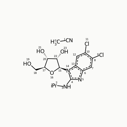 CC#N.CC(C)Nc1nc2cc(Cl)c(Cl)cc2n1[C@H]1O[C@@H](CO)[C@H](O)[C@@H]1O